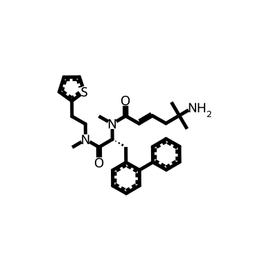 CN(CCc1cccs1)C(=O)[C@@H](Cc1ccccc1-c1ccccc1)N(C)C(=O)C=CCC(C)(C)N